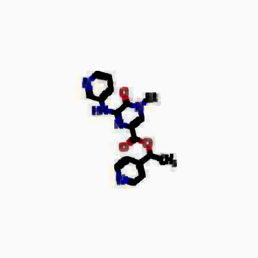 CCn1cc(C(=O)OC(C)c2ccncc2)nc(Nc2cccnc2)c1=O